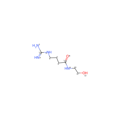 N=C(N)NCCCC(=O)NCCO